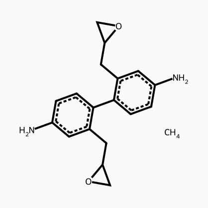 C.Nc1ccc(-c2ccc(N)cc2CC2CO2)c(CC2CO2)c1